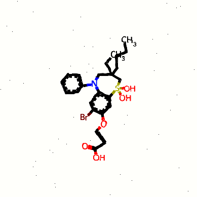 CCCCC1(CC)CN(c2ccccc2)c2cc(Br)c(OC=CC(=O)O)cc2S(O)(O)C1